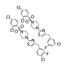 O=S(=O)(c1ccc(Cl)cc1Cl)N1CCN(c2nc(Cc3cc(F)cc(Cl)c3)cs2)CC1.O=S(=O)(c1ccc(Cl)cc1Cl)N1CCN(c2nc(Cc3ccc(Cl)c(F)c3)cs2)CC1